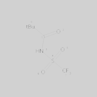 CC(C)(C)C(=O)NS(=O)(=O)C(F)(F)F